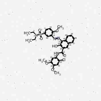 CCN(CC)S(=O)(=O)c1ccc(OC)c(/N=N/c2c(O)c(C(=O)Nc3cc(OC)c(OC)cc3Cl)cc3ccccc23)c1